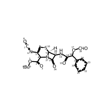 CC(C)(C)OC(=O)C1C(N=C=O)=CS[C@H]2C(NC(=O)C(OC=O)c3ccccc3)C(=O)N12